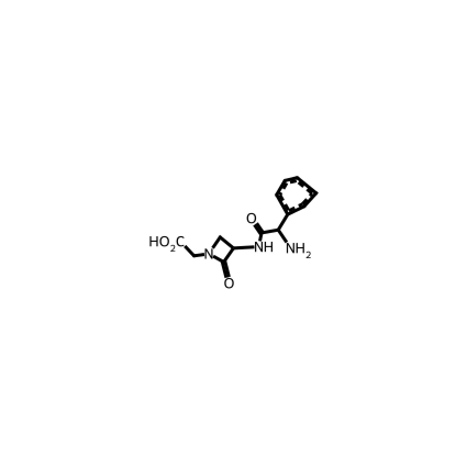 NC(C(=O)NC1CN(CC(=O)O)C1=O)c1ccccc1